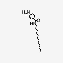 CCCCCCCCCCCCNC(=O)c1ccc(N)cc1